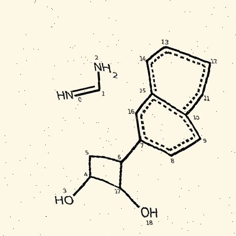 N=CN.OC1CC(c2ccc3ccccc3c2)C1O